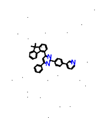 CC1(C)c2ccccc2-c2c(-c3cc(-c4ccccc4)nc(-c4ccc(-c5cccnc5)cc4)n3)cccc21